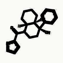 O=C(c1cccs1)N1CC[C@@](O)(c2ccccc2)[C@@H]2CCCC[C@H]21